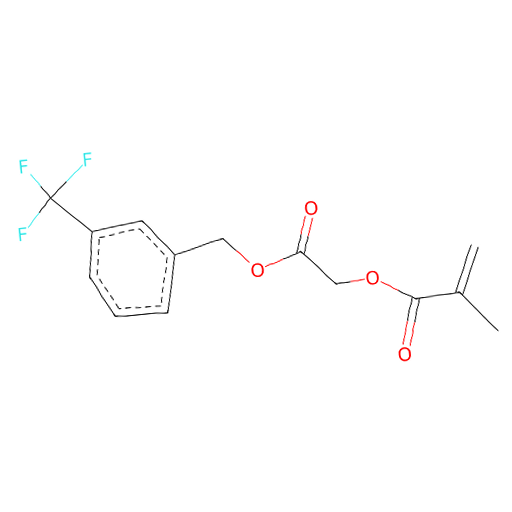 C=C(C)C(=O)OCC(=O)OCc1cccc(C(F)(F)F)c1